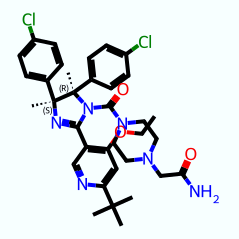 CCOc1cc(C(C)(C)C)ncc1C1=N[C@@](C)(c2ccc(Cl)cc2)[C@@](C)(c2ccc(Cl)cc2)N1C(=O)N1CCN(CC(N)=O)CC1